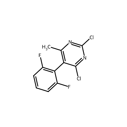 Cc1nc(Cl)nc(Cl)c1-c1c(F)cccc1F